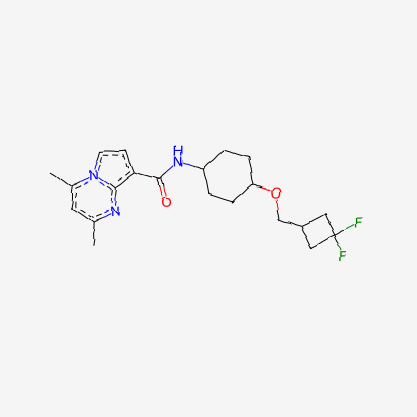 Cc1cc(C)n2ccc(C(=O)NC3CCC(OCC4CC(F)(F)C4)CC3)c2n1